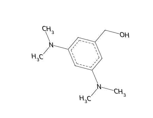 CN(C)c1cc(CO)cc(N(C)C)c1